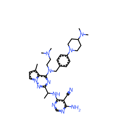 Cc1ccn2nc(C(C)Nc3ncnc(N)c3C#N)nc(N(CCN(C)C)Cc3ccc(N4CCC(N(C)C)CC4)cc3)c12